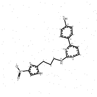 O=[N+]([O-])c1c[nH]c(CCCNc2nccc(-c3ccc(O)cc3)n2)n1